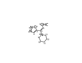 O=CC=C(c1cnno1)N1CCCCC1